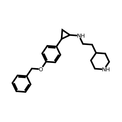 c1ccc(COc2ccc(C3CC3NCCC3CCNCC3)cc2)cc1